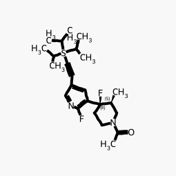 CC(=O)N1CC[C@](F)(c2cc(C#CS(C(C)C)(C(C)C)C(C)C)cnc2F)[C@@H](C)C1